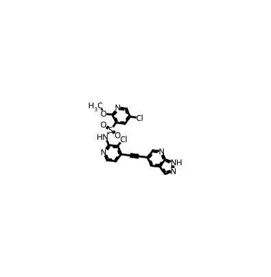 COc1ncc(Cl)cc1S(=O)(=O)Nc1nccc(C#Cc2cnc3[nH]ncc3c2)c1Cl